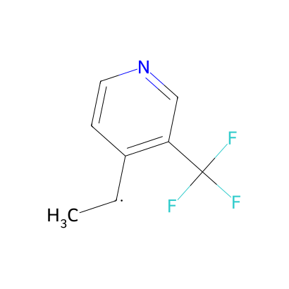 C[CH]c1ccncc1C(F)(F)F